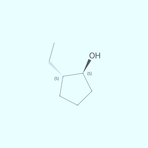 CC[C@H]1CCC[C@@H]1O